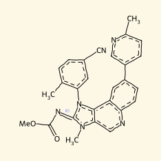 COC(=O)/N=c1\n(C)c2cnc3ccc(-c4ccc(C)nc4)cc3c2n1-c1cc(C#N)ccc1C